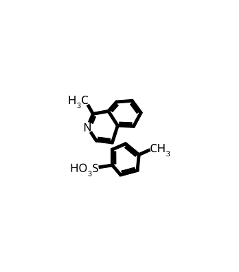 Cc1ccc(S(=O)(=O)O)cc1.Cc1nccc2ccccc12